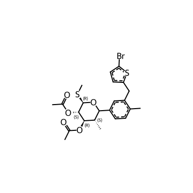 CS[C@H]1OC(c2ccc(C)c(Cc3ccc(Br)s3)c2)[C@H](C)[C@@H](OC(C)=O)[C@@H]1OC(C)=O